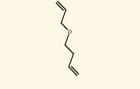 C=C[CH]COCC=C